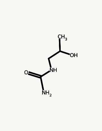 CC(O)CNC(N)=O